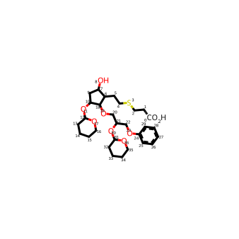 O=C(O)CCSCCC1C(O)CC(OC2CCCCO2)C1OCC(COc1ccccc1)OC1CCCCO1